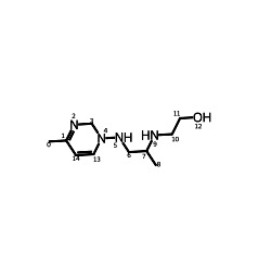 CC1=NCN(NCC(C)NCCO)C=C1